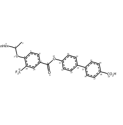 CCCCCCC(C)Oc1ccc(C(=O)Oc2ccc(-c3ccc(C(=O)O)cc3)cc2)cc1C(F)(F)F